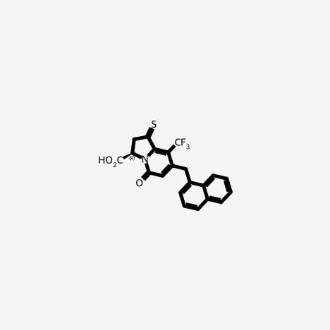 O=C(O)[C@H]1CC(=S)c2c(C(F)(F)F)c(Cc3cccc4ccccc34)cc(=O)n21